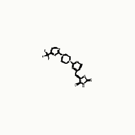 O=C1NC(=O)/C(=C/c2ccnc(N3CCN(c4nccc(C(F)(F)F)n4)CC3)n2)S1